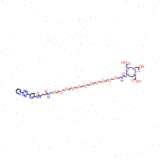 O=C(O)CN1CCN(CC(=O)O)CCN(CC(=O)NCCOCCOCCOCCOCCOCCOCCOCCOCCOCCOCCOCCNC(=O)CCCC(=O)Nc2ccc(-c3nnc(-c4ccccn4)nn3)nc2)CCN(CC(=O)O)CC1